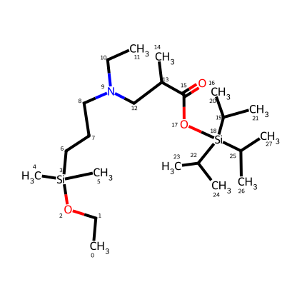 CCO[Si](C)(C)CCCN(CC)CC(C)C(=O)O[Si](C(C)C)(C(C)C)C(C)C